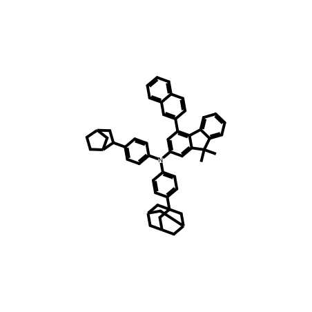 CC1(C)c2ccccc2-c2c(-c3ccc4ccccc4c3)cc(N(c3ccc(C4CC5CCC4C5)cc3)c3ccc(C45CC6CC(CC(C6)C4)C5)cc3)cc21